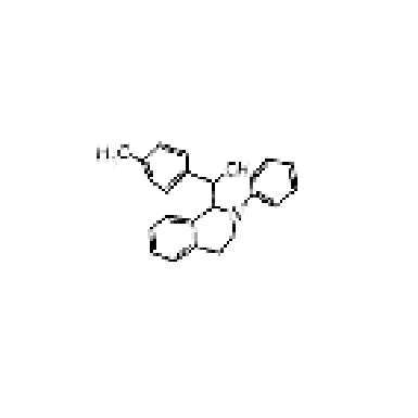 Cc1ccc(C(C)C2c3ccccc3CCN2c2ccccc2)cc1